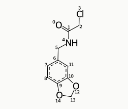 O=C(CCl)NCc1ccc2c(c1)OCO2